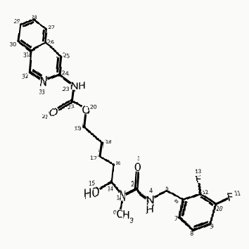 CN(C(=O)NCc1cccc(F)c1F)C(O)CCCCOC(=O)Nc1cc2ccccc2cn1